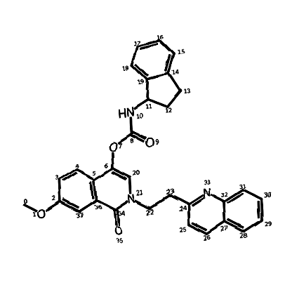 COc1ccc2c(OC(=O)NC3CCc4ccccc43)cn(CCc3ccc4ccccc4n3)c(=O)c2c1